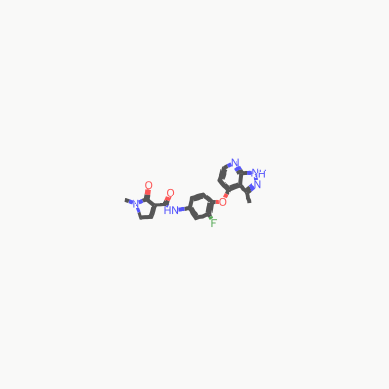 Cc1n[nH]c2nccc(Oc3ccc(NC(=O)C4CCN(C)C4=O)cc3F)c12